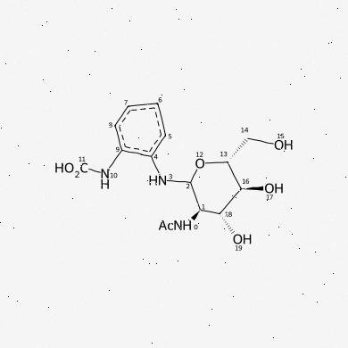 CC(=O)N[C@H]1C(Nc2ccccc2NC(=O)O)O[C@H](CO)[C@@H](O)[C@@H]1O